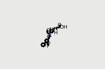 O=C(O)CCNCc1ccc2c(n1)OCC/C2=N\OCc1ccc(C2CCCCC2)c(C(F)(F)F)c1